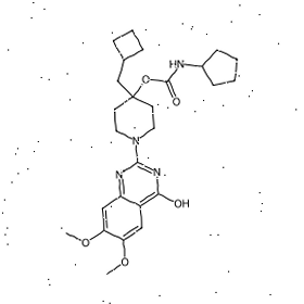 COc1cc2nc(N3CCC(CC4CCC4)(OC(=O)NC4CCCC4)CC3)nc(O)c2cc1OC